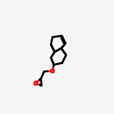 C1=CC2CCC(OCC3CO3)CC2CC1